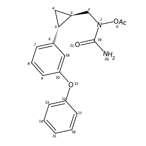 CC(=O)ON(C[C@@H]1C[C@H]1c1cccc(Oc2ccccc2)c1)C(N)=O